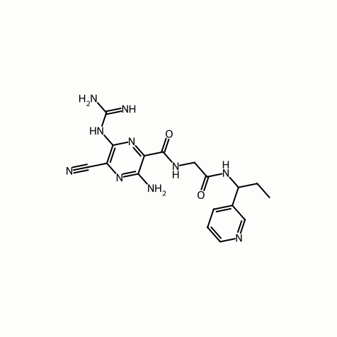 CCC(NC(=O)CNC(=O)c1nc(NC(=N)N)c(C#N)nc1N)c1cccnc1